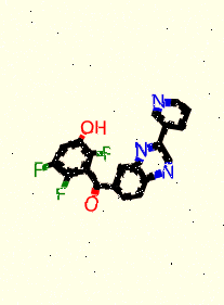 O=C(c1ccc2ncc(-c3cccnc3)nc2c1)c1c(F)c(O)cc(F)c1F